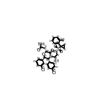 CC[C@@H](CNS(=O)(=O)C1(c2ccccc2F)CC1)N1C(=O)[C@@H](CC(N)=O)O[C@H](c2cccc(Cl)c2)[C@H]1c1ccc(Cl)cc1